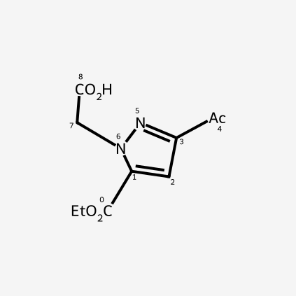 CCOC(=O)c1cc(C(C)=O)nn1CC(=O)O